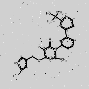 Cc1cc(COc2nc(C)n(-c3cccc(-c4ccnc(C(C)(C)O)n4)c3)c(=O)c2Br)cs1